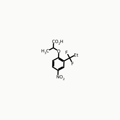 CCC(F)(F)c1cc([N+](=O)[O-])ccc1OC(C)C(=O)O